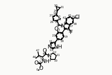 COC(=O)N[C@H](C(=O)N1CCC[C@H]1c1ncc(-c2ccc3c(c2)OC(c2ccc(C4CC4)s2)n2c-3c(F)c3cc(Cl)ccc32)[nH]1)C(C)C